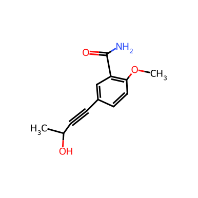 COc1ccc(C#CC(C)O)cc1C(N)=O